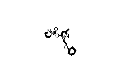 Cc1cc(OC(=O)n2cccn2)n(CCOc2ccccc2)n1